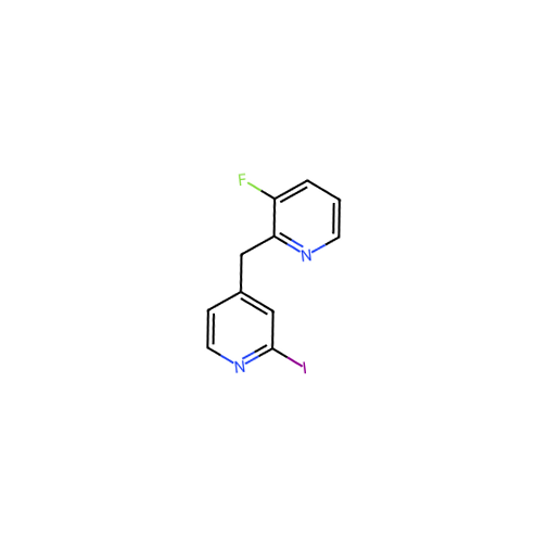 Fc1cccnc1Cc1ccnc(I)c1